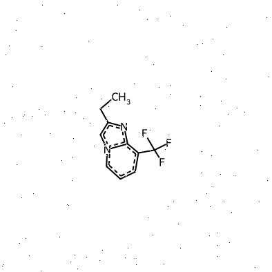 CCc1cn2cccc(C(F)(F)F)c2n1